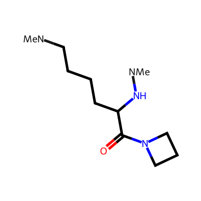 CNCCCCC(NNC)C(=O)N1CCC1